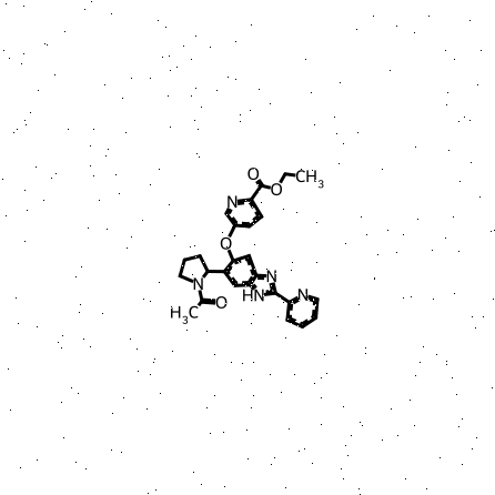 CCOC(=O)c1ccc(Oc2cc3nc(-c4ccccn4)[nH]c3cc2C2CCCN2C(C)=O)cn1